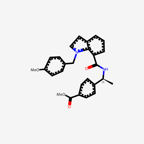 COC(=O)c1ccc([C@H](C)NC(=O)c2cccc3ccn(Cc4ccc(OC)cc4)c23)cc1